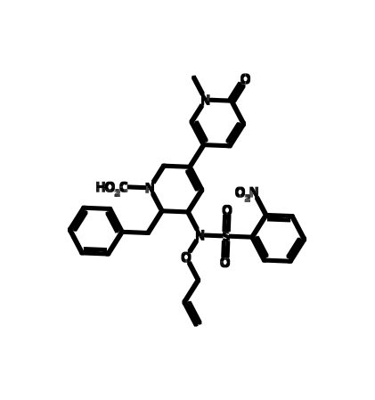 C=CCON(C1C=C(c2ccc(=O)n(C)c2)CN(C(=O)O)C1Cc1ccccc1)S(=O)(=O)c1ccccc1[N+](=O)[O-]